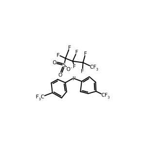 FC(F)(F)c1ccc([I+]c2ccc(C(F)(F)F)cc2)cc1.O=S(=O)([O-])C(F)(F)C(F)(F)C(F)(F)C(F)(F)F